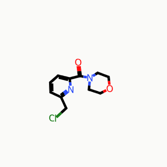 O=C(c1cccc(CCl)n1)N1CCOCC1